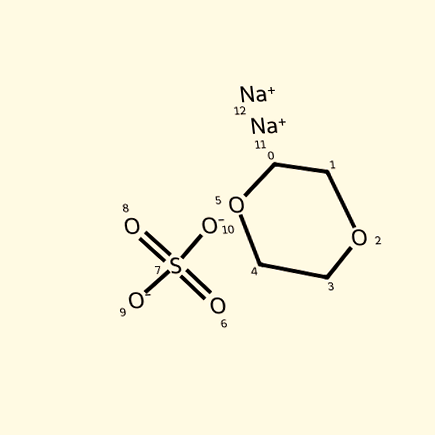 C1COCCO1.O=S(=O)([O-])[O-].[Na+].[Na+]